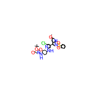 COc1cnc2c(c1)c(-c1cc(Cl)nc(NC3CCC(NN(CC=O)C(=O)OC(C)(C)C)CC3)c1)cn2S(=O)(=O)c1ccccc1